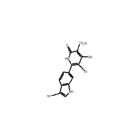 CCc1c(-c2ccc3c(C#N)c[nH]c3c2)[nH]c(=O)c(C(=O)O)c1O